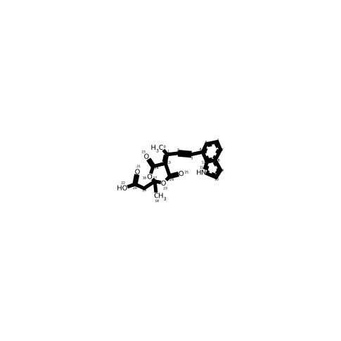 CC(C#Cc1cccc2cc[nH]c12)=C1C(=O)OC(C)(CC(=O)O)OC1=O